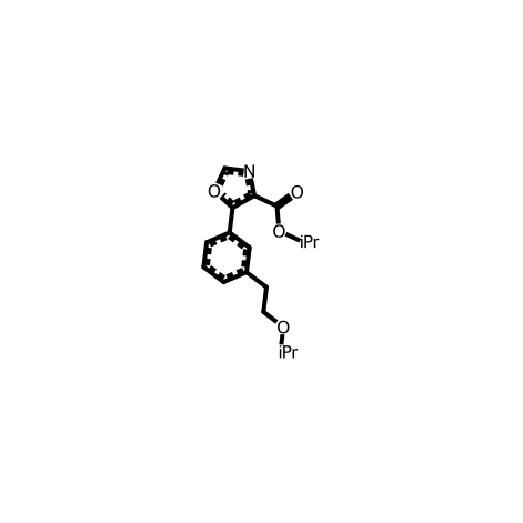 CC(C)OCCc1cccc(-c2ocnc2C(=O)OC(C)C)c1